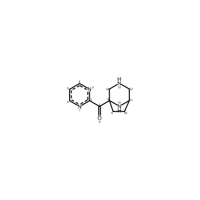 O=C(c1ncccn1)C12CCC(CNC1)N2